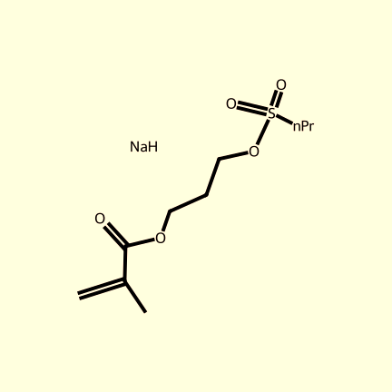 C=C(C)C(=O)OCCCOS(=O)(=O)CCC.[NaH]